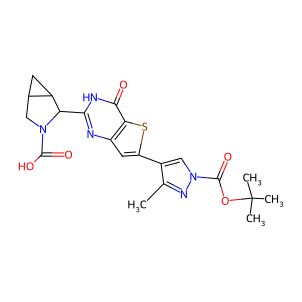 Cc1nn(C(=O)OC(C)(C)C)cc1-c1cc2nc(C3C4CC4CN3C(=O)O)[nH]c(=O)c2s1